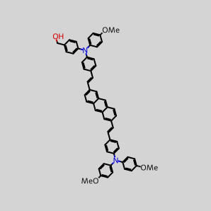 COc1ccc(N(c2ccc(C=Cc3ccc4cc5cc(C=Cc6ccc(N(c7ccc(OC)cc7)c7ccc(OC)cc7)cc6)ccc5cc4c3)cc2)c2ccc(CO)cc2)cc1